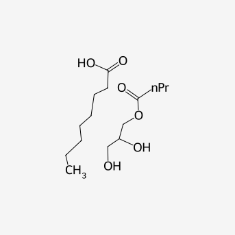 CCCC(=O)OCC(O)CO.CCCCCCCC(=O)O